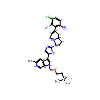 Cc1cc2c(-c3cnc([C@@H]4CCC5CC(c6c(N)ccc(Cl)c6F)=CCN54)[nH]3)cn(COCC[Si](C)(C)C)c2cn1